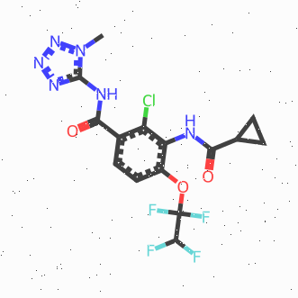 Cn1nnnc1NC(=O)c1ccc(OC(F)(F)C(F)F)c(NC(=O)C2CC2)c1Cl